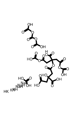 O=C(O)CC(O)(CC(=O)OC(CC(=O)OC(=O)O)(CC(=O)OC(=O)O)C(=O)O)C(=O)O.O=C(O)O.O=C(O)OC(=O)OC(=O)O.[KH].[KH].[KH].[NaH].[NaH].[NaH]